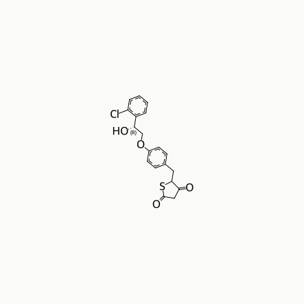 O=C1CC(=O)C(Cc2ccc(OC[C@H](O)c3ccccc3Cl)cc2)S1